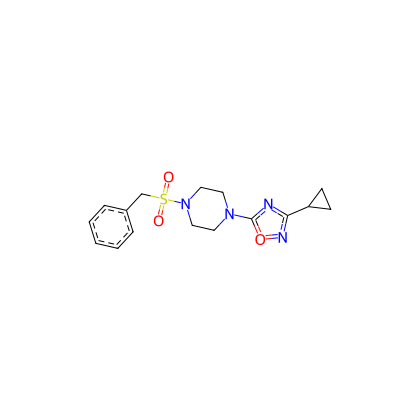 O=S(=O)(Cc1ccccc1)N1CCN(c2nc(C3CC3)no2)CC1